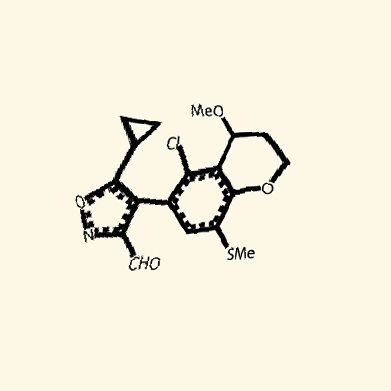 COC1CCOc2c(SC)cc(-c3c(C=O)noc3C3CC3)c(Cl)c21